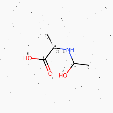 CC(O)N[C@@H](C)C(=O)O